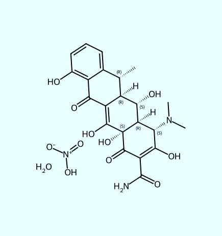 C[C@H]1c2cccc(O)c2C(=O)C2=C(O)[C@]3(O)C(=O)C(C(N)=O)=C(O)[C@@H](N(C)C)[C@@H]3[C@@H](O)[C@@H]21.O.O=[N+]([O-])O